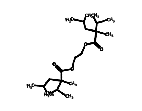 CC(C)CC(C)(C(=O)OCCOC(=O)C(C)(CC(C)C)C(C)C)C(C)C